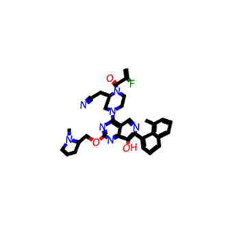 C=C(F)C(=O)N1CCN(c2nc(OCC3CCCN3C)nc3c(O)c(-c4cccc5cccc(C)c45)ncc23)CC1CC#N